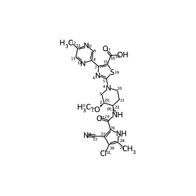 CO[C@H]1CN(c2nc(-c3cnc(C)cn3)c(C(=O)O)s2)CC[C@H]1NC(=O)c1[nH]c(C)c(Cl)c1C#N